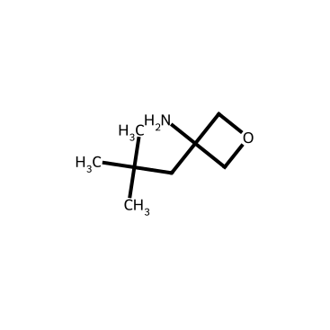 CC(C)(C)CC1(N)COC1